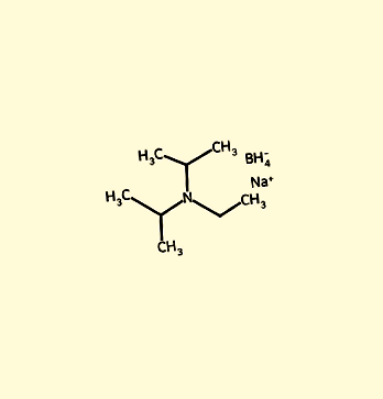 CCN(C(C)C)C(C)C.[BH4-].[Na+]